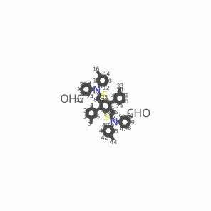 Cc1cccc(-c2c3cc(N(c4cccc(C)c4)c4cccc(C=O)c4)sc3c(-c3cccc(C)c3)c3cc(N(c4cccc(C)c4)c4cccc(C=O)c4)sc23)c1